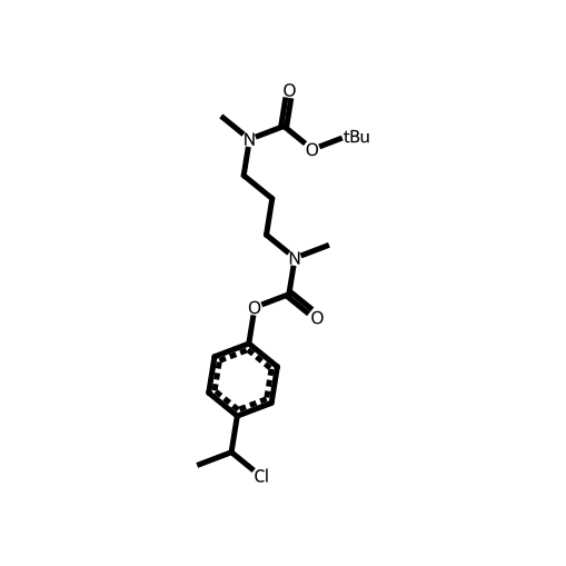 CC(Cl)c1ccc(OC(=O)N(C)CCCN(C)C(=O)OC(C)(C)C)cc1